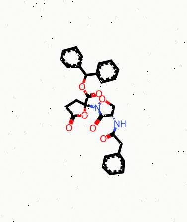 O=C(Cc1ccccc1)N[C@H]1CON(C2(C(=O)OC(c3ccccc3)c3ccccc3)CCC(=O)O2)C1=O